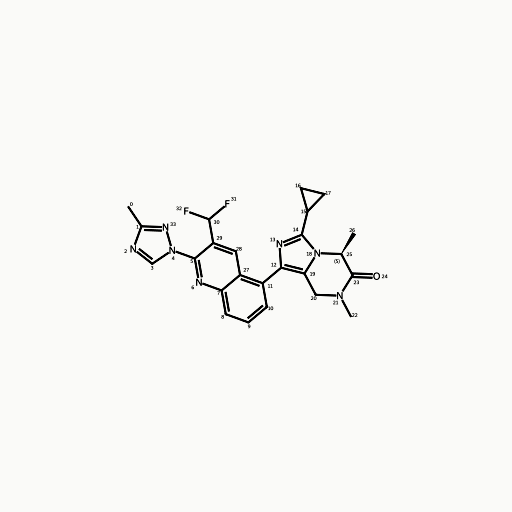 Cc1ncn(-c2nc3cccc(-c4nc(C5CC5)n5c4CN(C)C(=O)[C@@H]5C)c3cc2C(F)F)n1